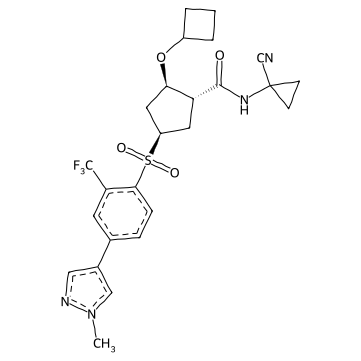 Cn1cc(-c2ccc(S(=O)(=O)[C@H]3C[C@@H](OC4CCC4)[C@H](C(=O)NC4(C#N)CC4)C3)c(C(F)(F)F)c2)cn1